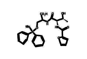 C[C@@H](O)[C@H](NC(=O)c1ccco1)C(=O)NC(CO[Si](c1ccccc1)(c1ccccc1)C(C)(C)C)C(=O)O